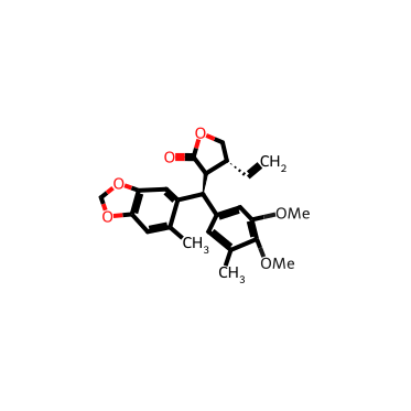 C=C[C@H]1COC(=O)C1[C@@H](c1cc(C)c(OC)c(OC)c1)c1cc2c(cc1C)OCO2